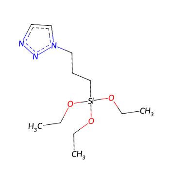 CCO[Si](CCCn1ccnn1)(OCC)OCC